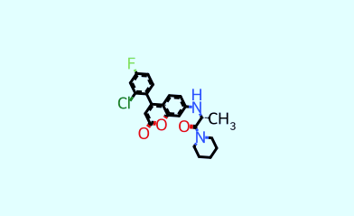 C[C@@H](Nc1ccc2c(-c3ccc(F)cc3Cl)cc(=O)oc2c1)C(=O)N1CCCCC1